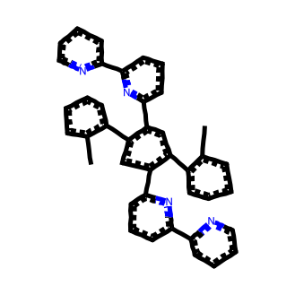 Cc1ccccc1-c1cc(-c2cccc(-c3ccccn3)n2)c(-c2ccccc2C)cc1-c1cccc(-c2ccccn2)n1